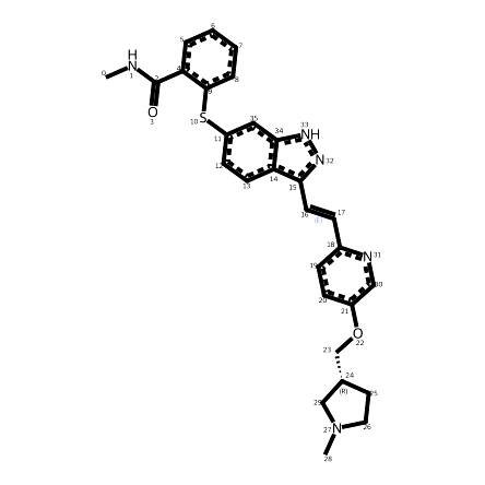 CNC(=O)c1ccccc1Sc1ccc2c(/C=C/c3ccc(OC[C@@H]4CCN(C)C4)cn3)n[nH]c2c1